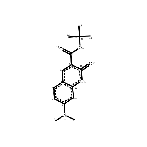 CN(C)c1ccc2cc(C(=O)OC(C)(C)C)c(=O)oc2c1